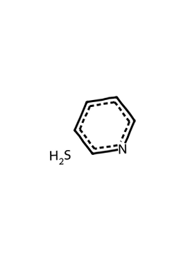 S.c1ccncc1